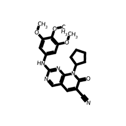 COc1cc(Nc2ncc3cc(C#N)c(=O)n(C4CCCC4)c3n2)cc(OC)c1OC